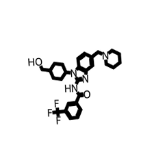 O=C(Nc1nc2cc(CN3CCCCC3)ccc2n1C1CCC(CO)CC1)c1cccc(C(F)(F)F)c1